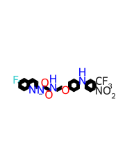 CN(C(=O)C(=O)NCCO[C@H]1CC[C@H](Nc2ccc([N+](=O)[O-])c(C(F)(F)F)c2)CC1)c1ccc2cc(F)ccc2n1